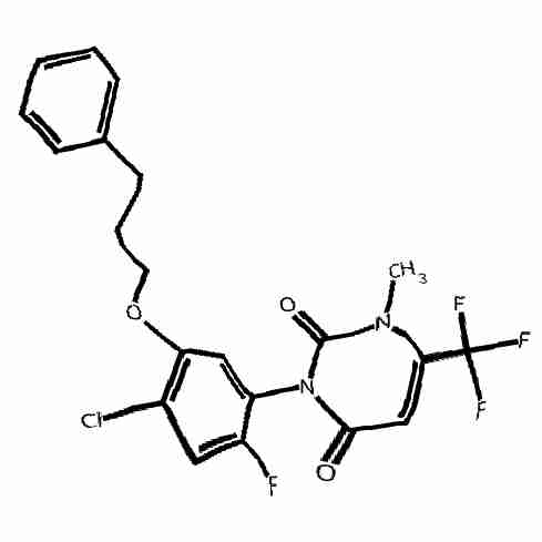 Cn1c(C(F)(F)F)cc(=O)n(-c2cc(OCCCc3ccccc3)c(Cl)cc2F)c1=O